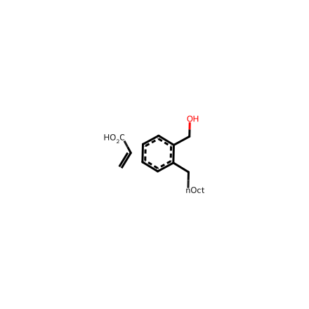 C=CC(=O)O.CCCCCCCCCc1ccccc1CO